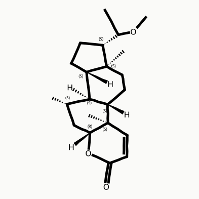 COC(C)[C@H]1CC[C@H]2[C@@H]3[C@@H](C)C[C@H]4OC(=O)C=C[C@]4(C)[C@H]3CC[C@]12C